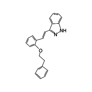 C(=Cc1n[nH]c2ccccc12)c1ccccc1OCCc1ccccc1